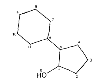 OC1CCCC1[C]1CCCCC1